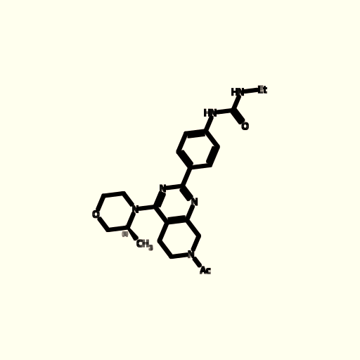 CCNC(=O)Nc1ccc(-c2nc3c(c(N4CCOC[C@@H]4C)n2)CCN(C(C)=O)C3)cc1